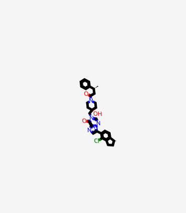 C[C@H](CC(=O)N1CCC(O)(Cn2cnn3c(-c4ccc5c(c4Cl)CC[CH]5)cnc3c2=O)CC1)c1ccccc1